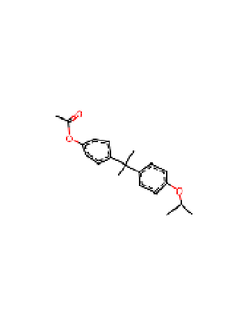 CC(=O)Oc1ccc(C(C)(C)c2ccc(OC(C)C)cc2)cc1